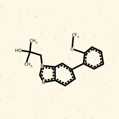 CC(C)(O)Cn1cnc2ccc(-c3ccccc3OC(F)(F)F)cc21